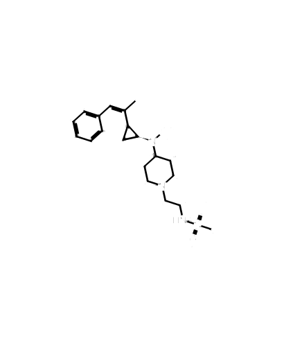 CC(=Cc1ccccc1)C1C[C@@H]1N(C(=O)O)C1CCN(CCNS(C)(=O)=O)CC1